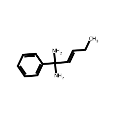 CCC=CC(N)(N)c1ccccc1